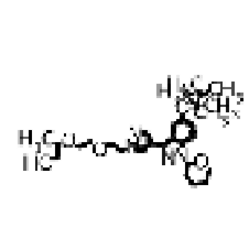 CC(CO)OCCOCCn1cc(-c2nn(C3CCCCO3)c3ccc(O[Si](C)(C)C(C)(C)C)cc23)cn1